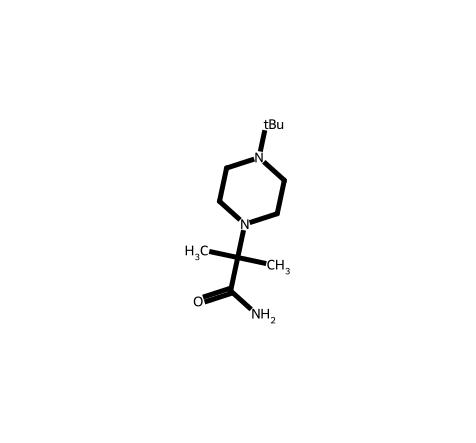 CC(C)(C)N1CCN(C(C)(C)C(N)=O)CC1